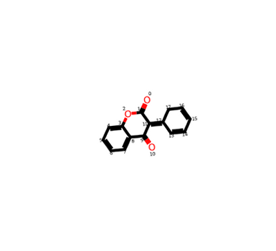 O=C1Oc2ccccc2C(=O)C1=C1C=CC=CC1